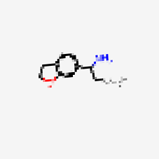 NC(CC(=O)O)c1ccc2c(c1)OCC2